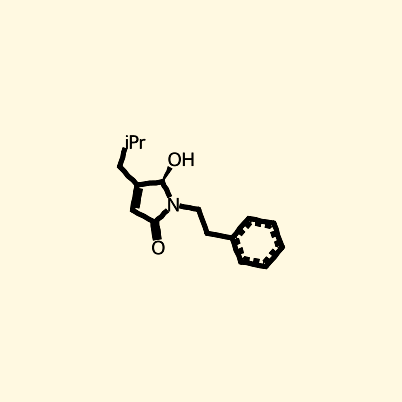 CC(C)CC1=CC(=O)N(CCc2ccccc2)[C@@H]1O